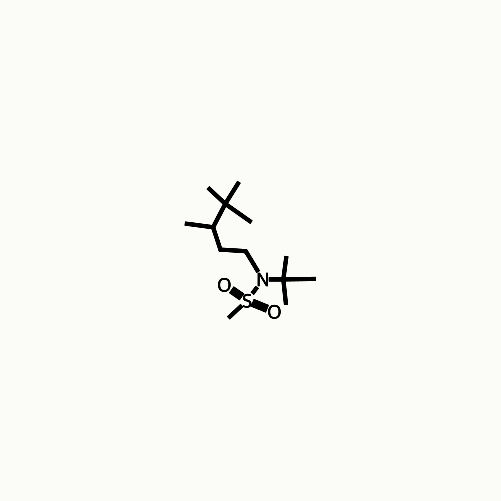 CC(CCN(C(C)(C)C)S(C)(=O)=O)C(C)(C)C